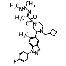 C=NN(C)/N=C(\C)S(=O)(=O)N1CCN(CC2CCC2)[C@@H](c2cc3cnn(-c4ccc(F)cc4)c3cc2C)C1